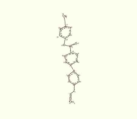 C=CCc1ccc(-c2ncc(C(=O)Oc3ccc(C#N)cc3)cn2)cc1